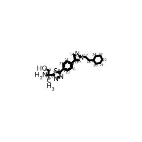 C[C@](N)(CO)c1nnc(-c2ccc(-c3cnn(CCC4CCCCC4)c3)cc2)s1